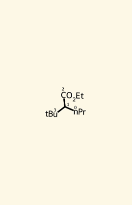 CCCC(C(=O)OCC)C(C)(C)C